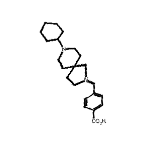 O=C(O)c1ccc(CN2CCC3(CCN(C4CCCCC4)CC3)C2)cc1